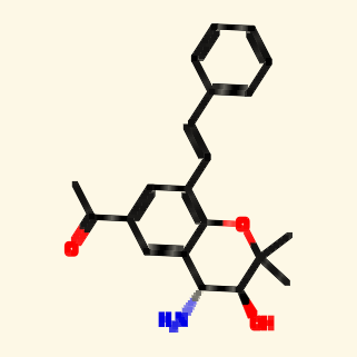 CC(=O)c1cc(C=Cc2ccccc2)c2c(c1)[C@@H](N)[C@H](O)C(C)(C)O2